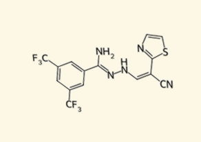 N#C/C(=C/N/N=C(\N)c1cc(C(F)(F)F)cc(C(F)(F)F)c1)c1nccs1